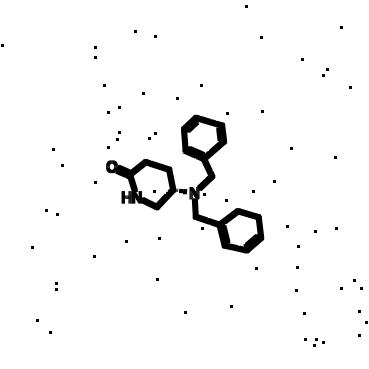 O=C1CC[C@H](N(CC2=CC=CCC2)Cc2ccccc2)CN1